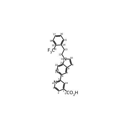 O=C(O)c1ccnc(-c2cc3ccn(CCc4ccccc4C(F)(F)F)c3cn2)c1